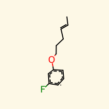 CC=CCCCOc1cc[c]c(F)c1